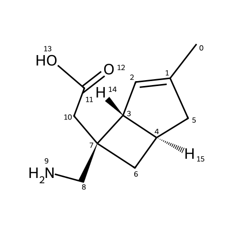 CC1=C[C@@H]2[C@@H](C1)C[C@]2(CN)CC(=O)O